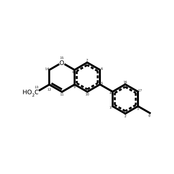 Cc1ccc(-c2ccc3c(c2)C=C(C(=O)O)CO3)cc1